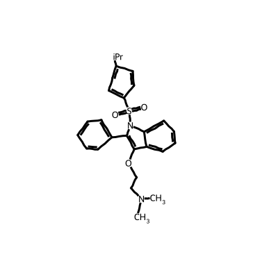 CC(C)c1ccc(S(=O)(=O)n2c(-c3ccccc3)c(OCCN(C)C)c3ccccc32)cc1